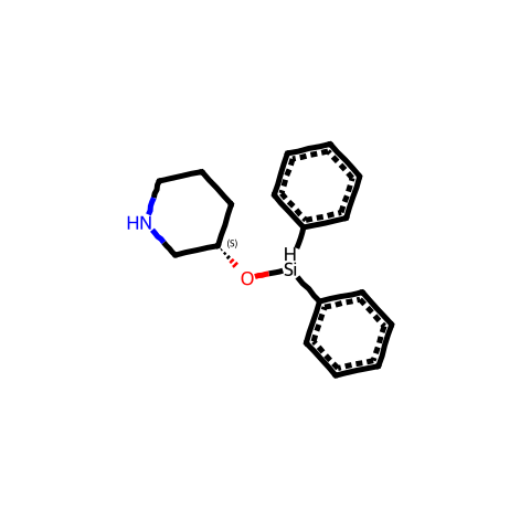 c1ccc([SiH](O[C@H]2CCCNC2)c2ccccc2)cc1